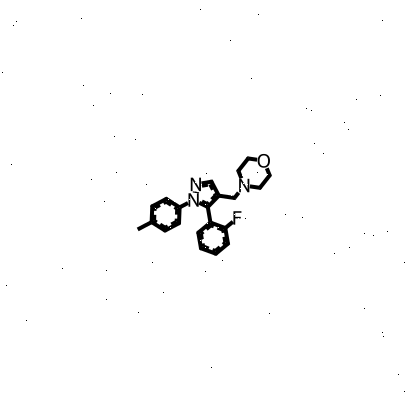 Cc1ccc(-n2ncc(CN3CCOCC3)c2-c2ccccc2F)cc1